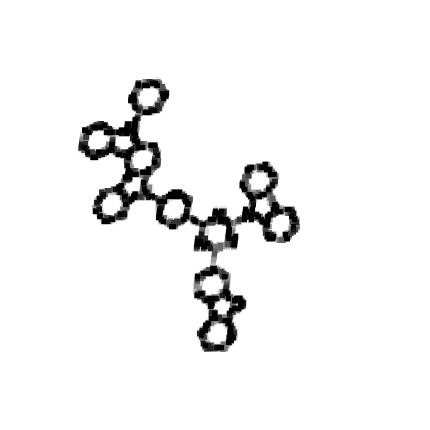 c1ccc(-n2c3ccccc3c3c4c5ccccc5n(-c5ccc(-c6nc(-c7ccc8c(c7)oc7ccccc78)nc(-n7c8ccccc8c8ccccc87)n6)cc5)c4ccc32)cc1